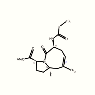 COC(=O)[C@@H]1CC[C@@H]2C/C(C)=C\C[C@H](NC(=O)OC(C)(C)C)C(=O)N21